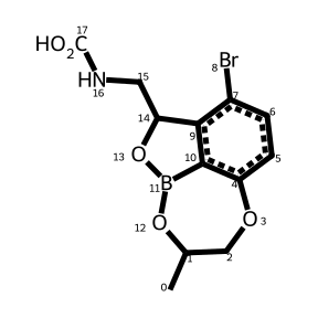 CC1COc2ccc(Br)c3c2B(O1)OC3CNC(=O)O